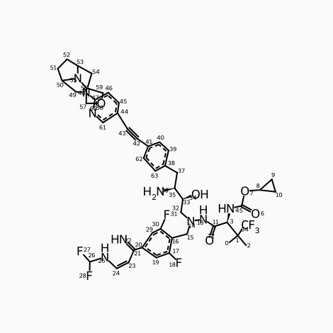 CC(C)([C@H](NC(=O)OC1CC1)C(=O)NN(Cc1c(F)cc(C(=N)/C=C\NC(F)F)cc1F)C[C@H](O)[C@@H](N)Cc1ccc(C#Cc2ccc(N3CC4CCC(C3)N4C3COC3)nc2)cc1)C(F)(F)F